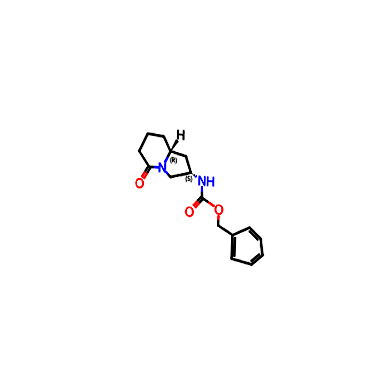 O=C(N[C@H]1C[C@H]2CCCC(=O)N2C1)OCc1ccccc1